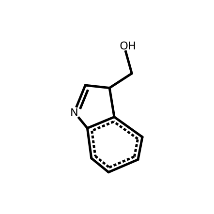 OCC1C=Nc2ccccc21